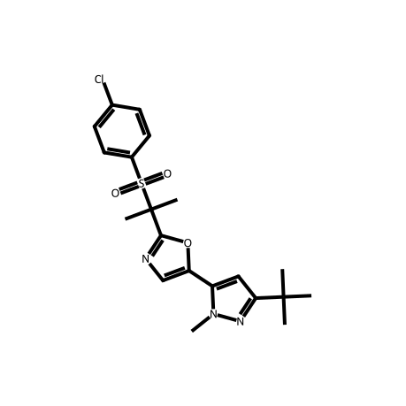 Cn1nc(C(C)(C)C)cc1-c1cnc(C(C)(C)S(=O)(=O)c2ccc(Cl)cc2)o1